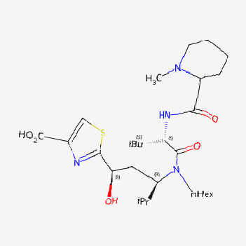 CCCCCCN(C(=O)[C@@H](NC(=O)C1CCCCN1C)[C@@H](C)CC)[C@H](C[C@@H](O)c1nc(C(=O)O)cs1)C(C)C